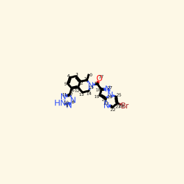 CC1c2cccc(-c3nn[nH]n3)c2CCN1C(=O)c1cc2ncc(Br)cn2n1